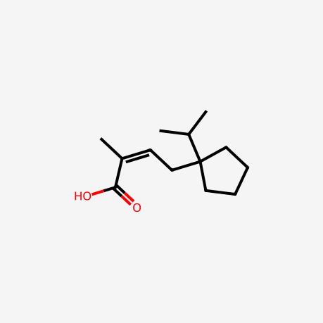 CC(=CCC1(C(C)C)CCCC1)C(=O)O